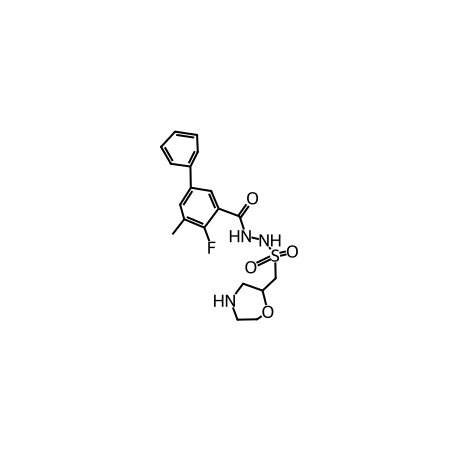 Cc1cc(-c2ccccc2)cc(C(=O)NNS(=O)(=O)CC2CNCCO2)c1F